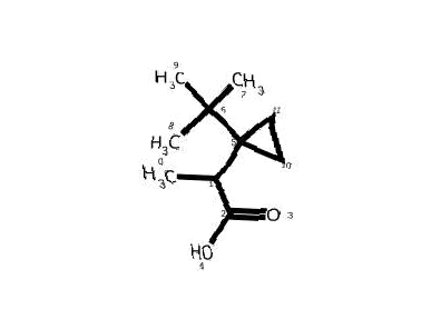 CC(C(=O)O)C1(C(C)(C)C)CC1